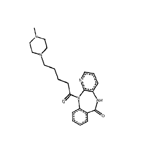 CN1CCN(CCCCC(=O)N2c3ccccc3C(=O)Nc3cccnc32)CC1